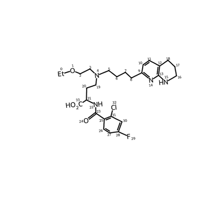 CCOCCN(CCCCc1ccc2c(n1)NCCC2)CCC(NC(=O)c1ccc(F)cc1Cl)C(=O)O